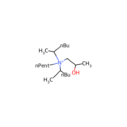 CCCCC[N+](CC(C)O)(C(C)CCCC)C(C)CCCC